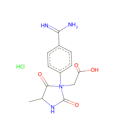 CC1NC(=O)[N+](CC(=O)O)(c2ccc(C(=N)N)cc2)C1=O.Cl